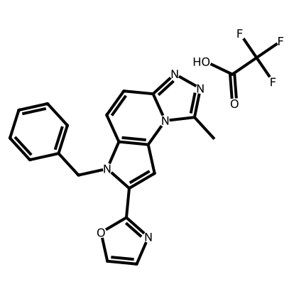 Cc1nnc2ccc3c(cc(-c4ncco4)n3Cc3ccccc3)n12.O=C(O)C(F)(F)F